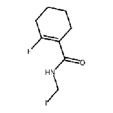 O=C(NCI)C1=C(F)CCCC1